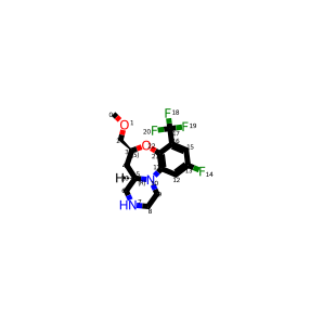 COC[C@@H]1C[C@@H]2CNCCN2c2cc(F)cc(C(F)(F)F)c2O1